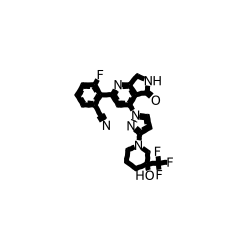 N#Cc1cccc(F)c1-c1cc(-n2ccc(N3CCCC(O)(C(F)(F)F)C3)n2)c2c(n1)CNC2=O